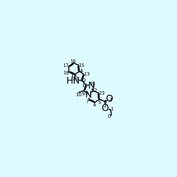 CCOC(=O)c1ccn2c(C)c(-c3cc4ccccc4[nH]3)nc2c1